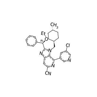 CCO[C@H](c1ccccc1)c1nc2cc(C#N)nc(-c3cncc(Cl)c3)c2n1C[C@H]1CC[C@H](C)CC1